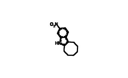 O=[N+]([O-])c1ccc2c3c([nH]c2c1)CCCCCC3